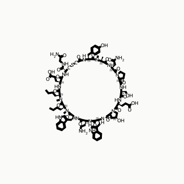 CCCC[C@H]1C(=O)N(C)[C@@H](CCCC)C(=O)N[C@@H](CCC(=O)O)C(=O)N[C@H](C(=O)NCC(N)=O)CSCC(=O)N[C@@H](Cc2ccc(O)cc2)C(=O)N(C)[C@@H](C)C(=O)N[C@@H](CC(N)=O)C(=O)N2CCC[C@H]2C(=O)N[C@@H](CO)C(=O)N[C@@H](CCC(=O)O)C(=O)N2C[C@H](O)C[C@H]2C(=O)N[C@@H](Cc2c[nH]c3ccccc23)C(=O)N[C@@H](CCN)C(=O)N[C@@H](Cc2c[nH]c3ccccc23)C(=O)N1C